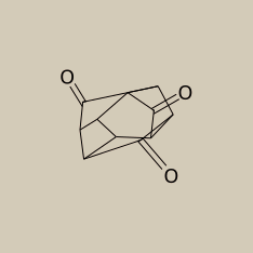 O=C1C2C3C(=O)C4C5C(=O)C3C1C5C24